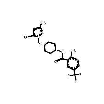 Cc1cc(C)n(C[C@H]2CC[C@H](NC(=O)c3cc(C(F)(F)F)cnc3C)CC2)n1